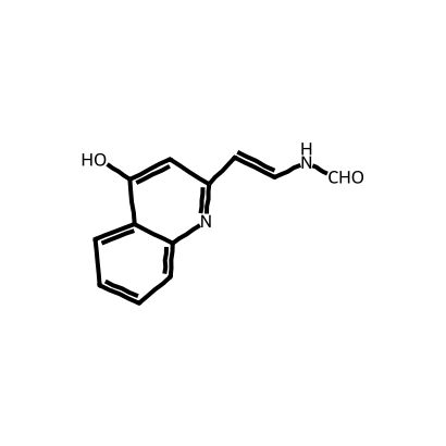 O=CNC=Cc1cc(O)c2ccccc2n1